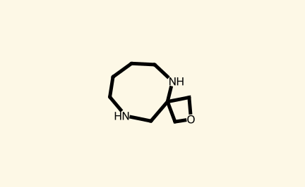 C1CCNC2(CNC1)COC2